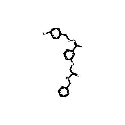 CC(=NOCc1ccc(Br)cc1)c1cccc(OCC(=O)NCc2ccccn2)c1